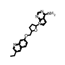 CCc1cnc2cc(OCC3CCC(n4ccc5c(N)ncnc54)O3)ccc2c1